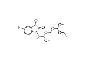 CCOC(OC)OCOC(O)C(C)N1C(=O)C(=O)c2cc(F)ccc21